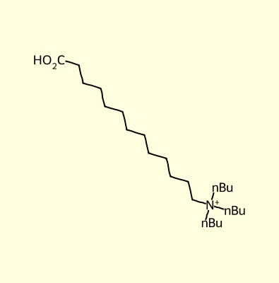 CCCC[N+](CCCC)(CCCC)CCCCCCCCCCCCC(=O)O